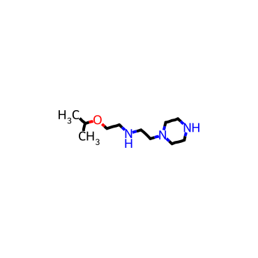 CC(C)OCCNCCN1CCNCC1